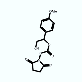 COc1ccc(C(CC#N)OC(=O)ON2C(=O)CCC2=O)cc1